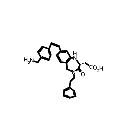 NCc1ccc(/C=C\c2ccc3c(c2)N[C@H](CC(=O)O)C(=O)N(CCc2ccccc2)C3)cc1